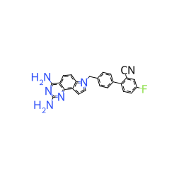 N#Cc1cc(F)ccc1-c1ccc(Cn2ccc3c4nc(N)nc(N)c4ccc32)cc1